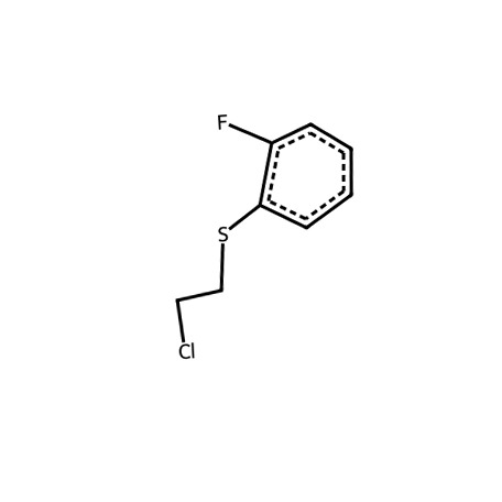 Fc1ccccc1SCCCl